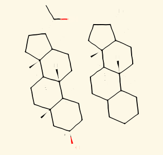 CC(O)[C@H]1CC[C@H]2[C@@H]3CC[C@H]4C[C@H](O)CC[C@]4(C)[C@H]3CC[C@]12C.CC[C@H]1CC[C@H]2[C@@H]3CCC4CCCC[C@]4(C)[C@H]3CC[C@]12C